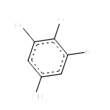 Cc1cc(Br)c([O])c(Br)c1